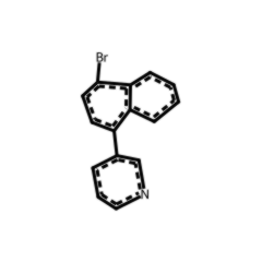 Brc1ccc(-c2cccnc2)c2ccccc12